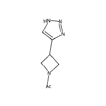 CC(=O)N1CC(c2c[nH]nn2)C1